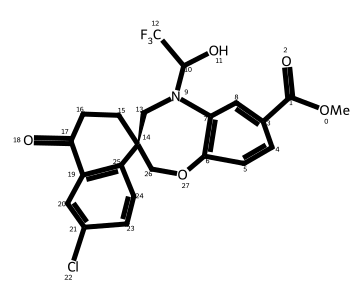 COC(=O)c1ccc2c(c1)N(C(O)C(F)(F)F)C[C@@]1(CCC(=O)c3cc(Cl)ccc31)CO2